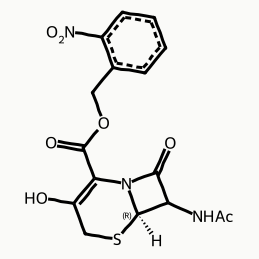 CC(=O)NC1C(=O)N2C(C(=O)OCc3ccccc3[N+](=O)[O-])=C(O)CS[C@H]12